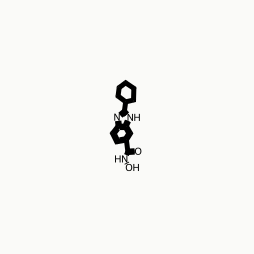 O=C(NO)c1ccc2nc(C3CCCCC3)[nH]c2c1